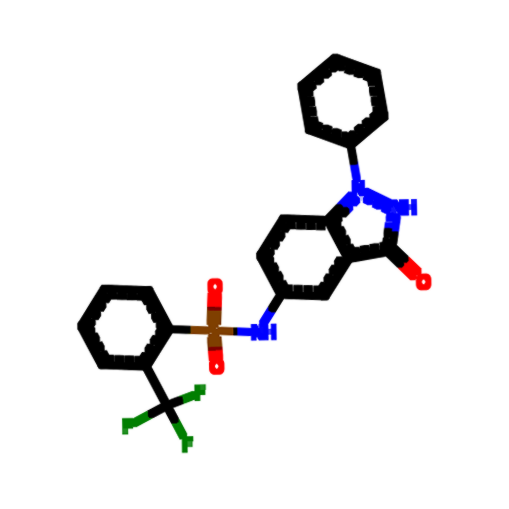 O=c1[nH]n(-c2ccccc2)c2ccc(NS(=O)(=O)c3ccccc3C(F)(F)F)cc12